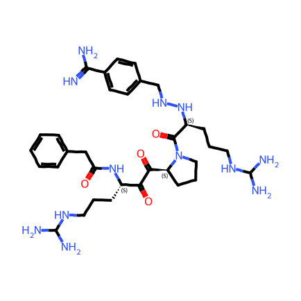 N=C(N)c1ccc(CNN[C@@H](CCCNC(N)N)C(=O)N2CCC[C@H]2C(=O)C(=O)[C@H](CCCNC(N)N)NC(=O)Cc2ccccc2)cc1